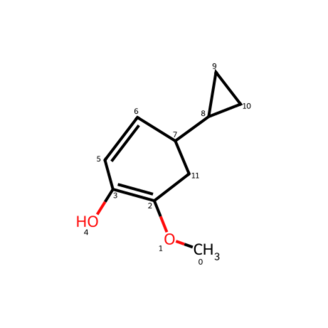 COC1=C(O)C=CC(C2CC2)C1